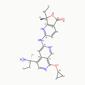 CC[C@@](C)(N)c1cnc(OC2CC2)c2cnc(Nc3ccc4c(n3)[C@](C)(CC)OC4=O)cc12